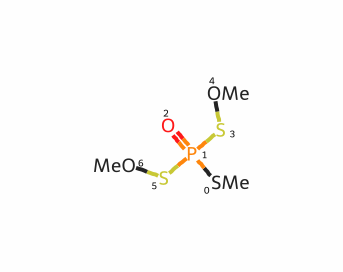 [CH2]SP(=O)(SOC)SOC